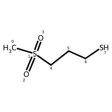 CS(=O)(=O)CCCS